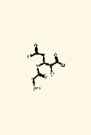 CCC(C(=O)Cl)C(CC(=O)Cl)OC(=O)COC